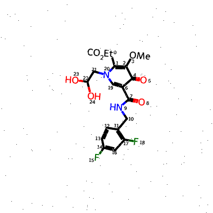 CCOC(=O)c1c(OC)c(=O)c(C(=O)NCc2ccc(F)cc2F)cn1CC(O)O